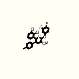 Cc1ccc(-c2cc(C#N)c(Oc3ccc(F)c(F)c3)nc2-c2cccc(Cl)c2Cl)cc1